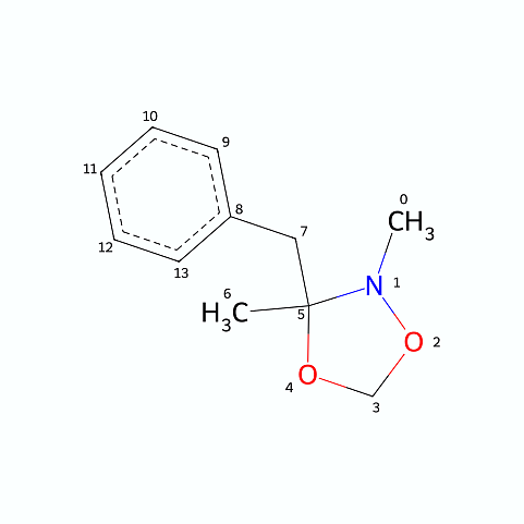 CN1OCOC1(C)Cc1ccccc1